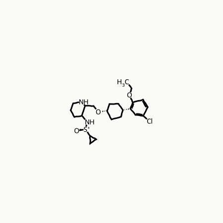 CCOc1ccc(Cl)cc1[C@H]1CC[C@@H](OCC2NCCCC2N[S+]([O-])C2CC2)CC1